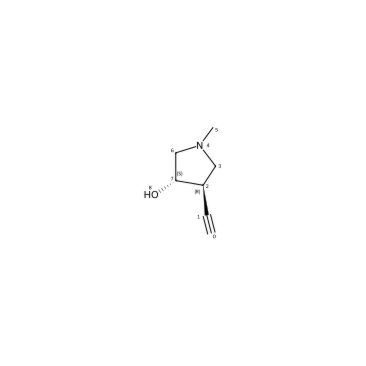 C#C[C@@H]1CN(C)C[C@H]1O